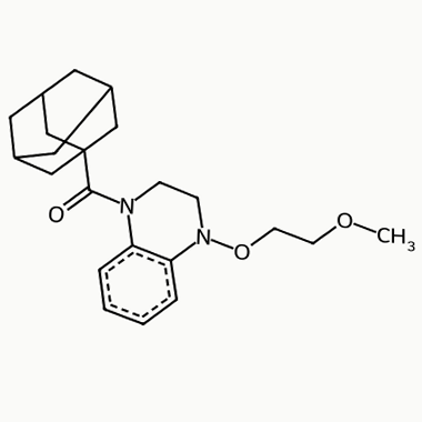 COCCON1CCN(C(=O)C23CC4CC(CC(C4)C2)C3)c2ccccc21